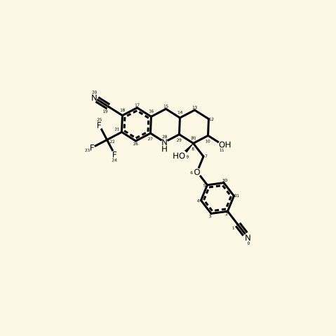 N#Cc1ccc(OC[C@@]2(O)C(O)CCC3Cc4cc(C#N)c(C(F)(F)F)cc4NC32)cc1